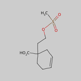 CS(=O)(=O)OCCC1(C(=O)O)CC=CCC1